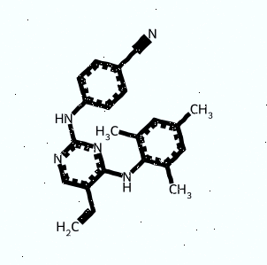 C=Cc1cnc(Nc2ccc(C#N)cc2)nc1Nc1c(C)cc(C)cc1C